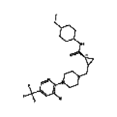 CCC1CCC(NC(=O)[C@H]2CC2CN2CCN(c3ncc(C(F)(F)F)cc3Cl)CC2)CC1